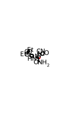 CCOP(=O)(OCC)c1ccc(Nc2nn(C3(CC#N)CCC(=O)CC3)cc2C(N)=O)cc1